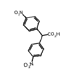 O=C(O)C(c1ccc([N+](=O)[O-])cc1)c1ccc([N+](=O)[O-])cc1